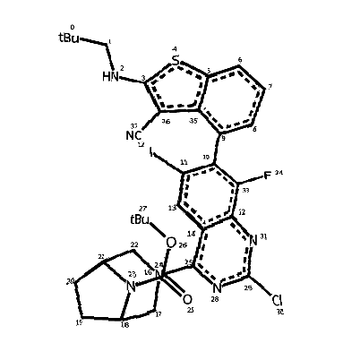 CC(C)(C)CNc1sc2cccc(-c3c(I)cc4c(N5CC6CCC(C5)N6C(=O)OC(C)(C)C)nc(Cl)nc4c3F)c2c1C#N